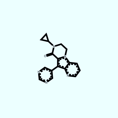 O=C1c2c(-c3cncnc3)c3ncccc3n2CCN1C1CC1